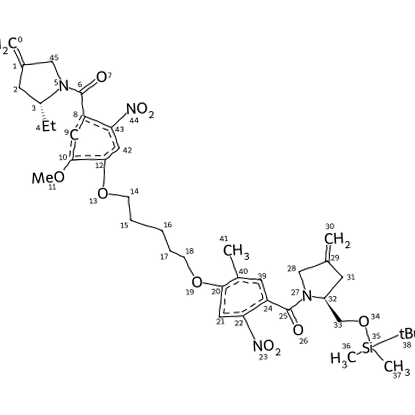 C=C1C[C@@H](CC)N(C(=O)c2cc(OC)c(OCCCCCOc3cc([N+](=O)[O-])c(C(=O)N4CC(=C)C[C@H]4CO[Si](C)(C)C(C)(C)C)cc3C)cc2[N+](=O)[O-])C1